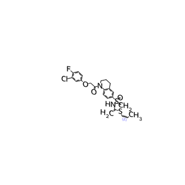 C=C(NS(=C)(=O)c1ccc2c(c1)CCCN2C(=O)COc1ccc(F)c(Cl)c1)S/C=C\C